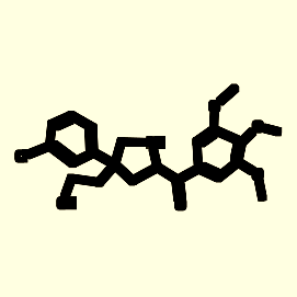 COc1cc(C(=O)C2CC(CCO)(c3cccc(Cl)c3)CN2)cc(OC)c1OC